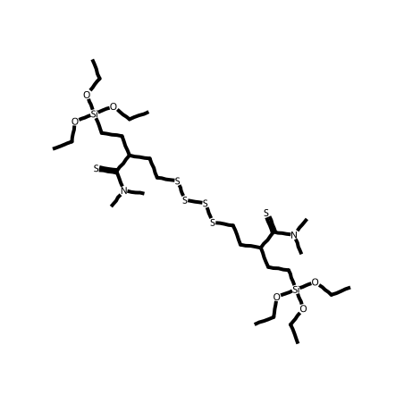 CCO[Si](CCC(CCSSSSCCC(CC[Si](OCC)(OCC)OCC)C(=S)N(C)C)C(=S)N(C)C)(OCC)OCC